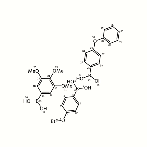 CCOc1ccc(B(O)O)cc1.COc1cc(B(O)O)cc(OC)c1OC.OB(O)c1ccc(Oc2ccccc2)cc1